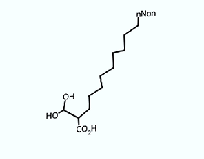 CCCCCCCCCCCCCCCCCCC(C(=O)O)C(O)O